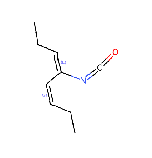 CC/C=C\C(=C/CC)N=C=O